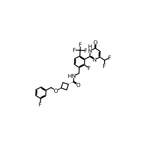 O=c1cc(C(F)F)nc(-c2c(C(F)(F)F)ccc(CNC(=O)[C@H]3C[C@H](OCc4cccc(F)c4)C3)c2F)[nH]1